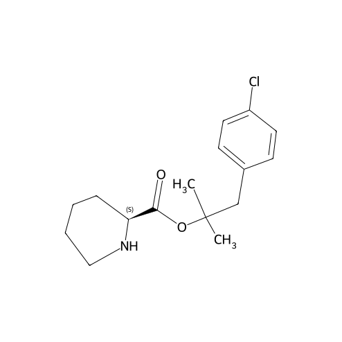 CC(C)(Cc1ccc(Cl)cc1)OC(=O)[C@@H]1CCCCN1